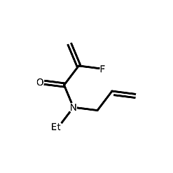 C=CCN(CC)C(=O)C(=C)F